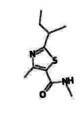 CCC(C)c1nc(C)c(C(=O)NC)s1